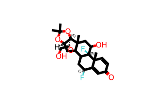 CC1(C)O[C@@H]2CC3C4C[C@H](F)C5=CC(=O)C=CC5(C)[C@@]4(F)C(O)CC3(C)[C@]2(C(=O)CO)O1